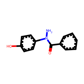 NN(C(=O)c1ccccc1)c1ccc(O)cc1